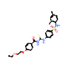 CCOCCOc1ccc(C(=O)NC(=S)Nc2ccc(S(=O)(=O)Nc3ccc(C)cc3C)cc2)cc1